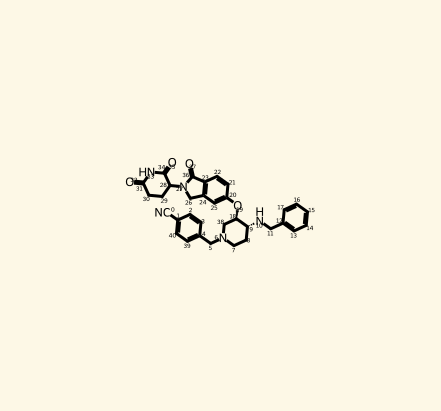 N#Cc1ccc(CN2CC[C@@H](NCc3ccccc3)[C@H](Oc3ccc4c(c3)CN(C3CCC(=O)NC3=O)C4=O)C2)cc1